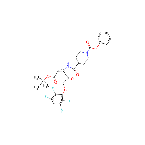 CC(C)(C)OC(=O)C[C@H](NC(=O)C1CCN(C(=O)Oc2ccccc2)CC1)C(=O)COc1c(F)c(F)cc(F)c1F